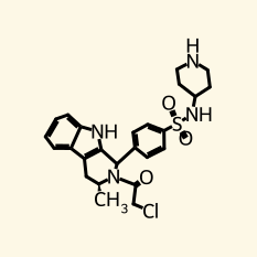 C[C@H]1Cc2c([nH]c3ccccc23)C(c2ccc(S(=O)(=O)NC3CCNCC3)cc2)N1C(=O)CCl